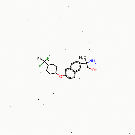 CCC(F)(F)C1CCC(Oc2ccc3cc(C(C)(N)CO)ccc3c2)CC1